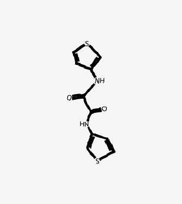 O=C(Nc1ccsc1)C(=O)Nc1ccsc1